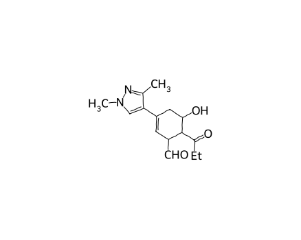 CCC(=O)C1C(C=O)C=C(c2cn(C)nc2C)CC1O